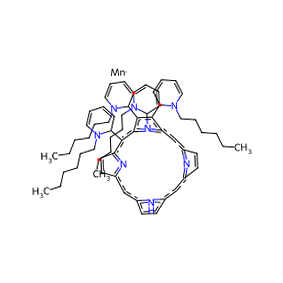 CCCCCCN1C=CC=CC1c1c(C2C=CC=CN2CCCCCC)c2c(C3C=CC=CN3CCCCCC)c3nc(cc4ccc(cc5nc(cc1n2C1C=CC=CN1CCCCCC)C=C5)[nH]4)C=C3.[Mn]